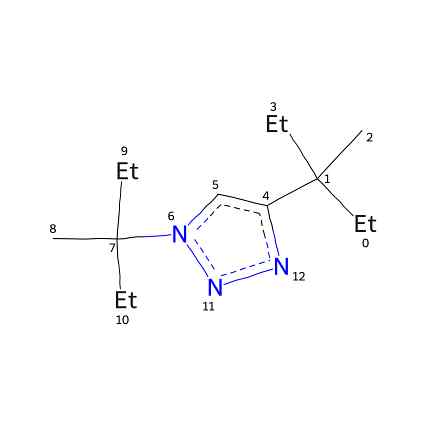 CCC(C)(CC)c1cn(C(C)(CC)CC)nn1